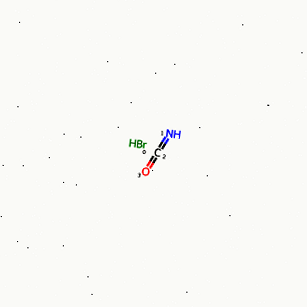 Br.N=C=O